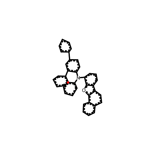 c1ccc(-c2ccc(N(c3ccccc3)c3cccc4c3oc3c5ccccc5ccc43)c(-c3ccccc3)c2)cc1